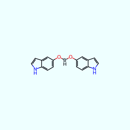 B(Oc1ccc2[nH]ccc2c1)Oc1ccc2[nH]ccc2c1